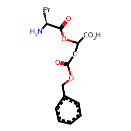 CC(C)[C@H](N)C(=O)OC(CC(=O)OCc1ccccc1)C(=O)O